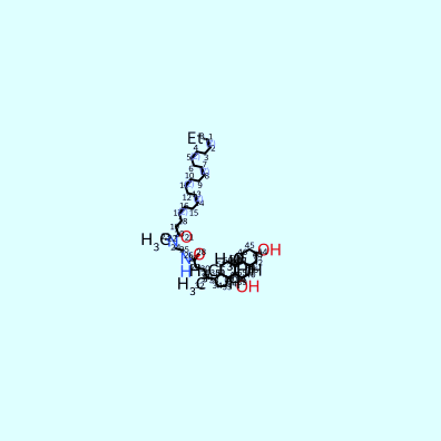 CC/C=C\C/C=C\C/C=C\C/C=C\C/C=C\C/C=C\CCC(=O)N(C)CCNC(=O)CC[C@@H](C)C1CC[C@H]2[C@@H]3[C@H](O)C[C@@H]4C[C@H](O)CC[C@]4(C)[C@H]3CC[C@]12C